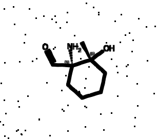 C[C@@]1(O)CCCC[C@@]1(N)C=O